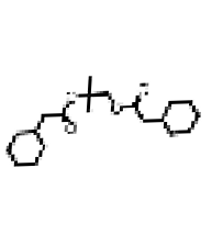 CC(C)(COC(=O)CC1CCCCC1)OC(=O)CC1CCCCC1